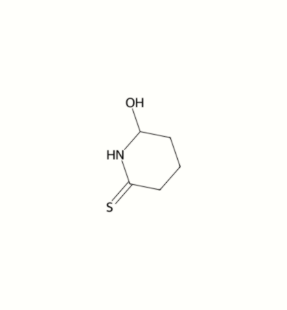 OC1CCCC(=S)N1